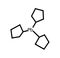 C1CC[CH]([Pb]([CH]2CCCC2)[CH]2CCCC2)C1